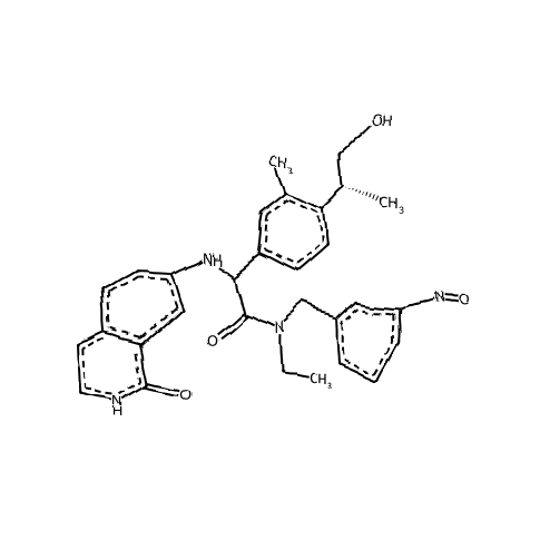 CCN(Cc1cccc(N=O)c1)C(=O)C(Nc1ccc2cc[nH]c(=O)c2c1)c1ccc([C@@H](C)CO)c(C)c1